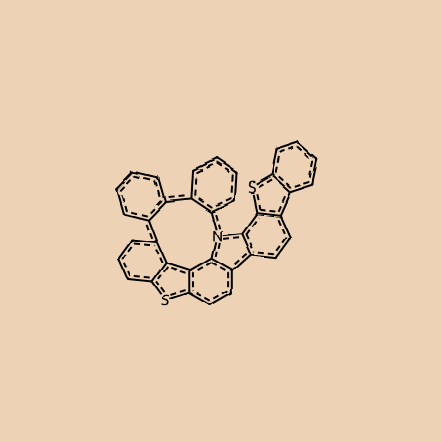 c1ccc2c(c1)sc1c2ccc2c3ccc4sc5cccc6c7ccccc7c7ccccc7n(c21)c3c4c56